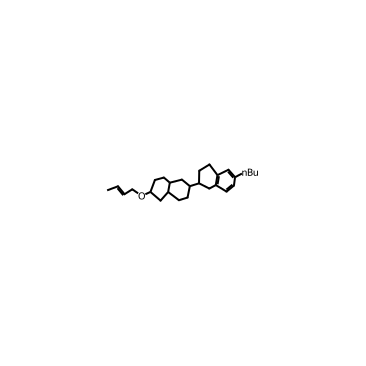 CC=CCOC1CCC2CC(C3CCc4cc(CCCC)ccc4C3)CCC2C1